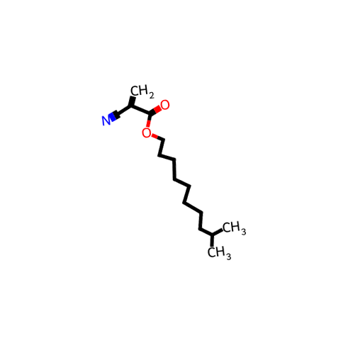 C=C(C#N)C(=O)OCCCCCCCCC(C)C